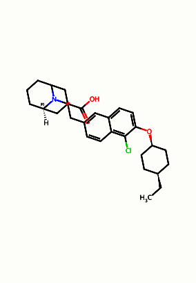 CC[C@H]1CC[C@@H](Oc2ccc3cc(CCN4C5CCC[C@@H]4CC(C(=O)O)C5)ccc3c2Cl)CC1